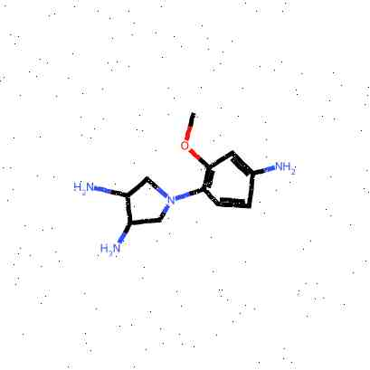 COc1cc(N)ccc1N1CC(N)C(N)C1